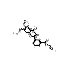 CCOC(=O)c1cccc(-c2cc(=O)c3cc(OC)c(OC)cc3o2)c1